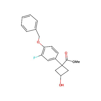 COC(=O)C1(c2ccc(OCc3ccccc3)c(F)c2)CC(O)C1